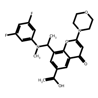 C=C(O)c1cc(C(C)N(C)c2cc(F)cc(F)c2)c2oc(N3CCOCC3)cc(=O)c2c1